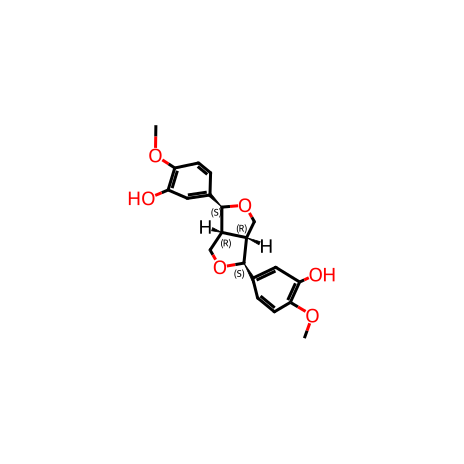 COc1ccc([C@H]2OC[C@H]3[C@@H]2CO[C@@H]3c2ccc(OC)c(O)c2)cc1O